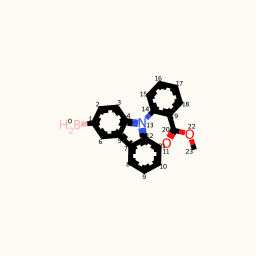 Bc1ccc2c(c1)c1ccccc1n2-c1ccccc1C(=O)OC